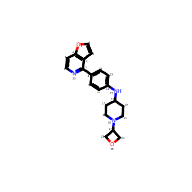 c1cc2occc2c(-c2ccc(NC3CCN(C4COC4)CC3)cc2)n1